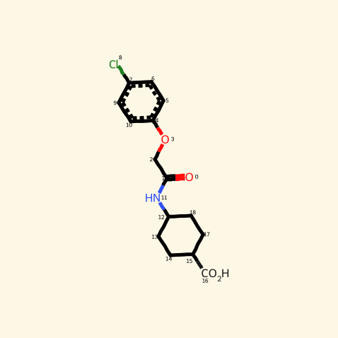 O=C(COc1ccc(Cl)cc1)NC1CCC(C(=O)O)CC1